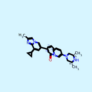 Cc1cn2cc(C3=C\C(=O)N4C=C(N5C[C@@H](C)N[C@@H](C)C5)C=C\C4=C/C=C/3)cc(C3CC3)c2n1